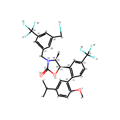 COc1ccc(C(C)C)cc1-c1ccc(C(F)(F)F)cc1[C@H]1OC(=O)N(Cc2cc(CF)cc(C(F)(F)F)c2)[C@H]1C